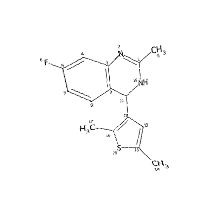 CC1=Nc2cc(F)ccc2C(c2cc(C)sc2C)N1